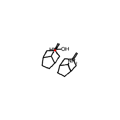 C=C1CC2CCC(C1)C2N.C=C1CC2CCC(C1)C2NO